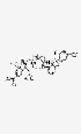 COC(=O)c1cc(OC)c2nc(CN3CCN(c4cccc5c4OC(C)(c4ccc(Cl)cc4F)O5)[C@H]4CC[C@H]43)n(C[C@@H]3CCO3)c2c1